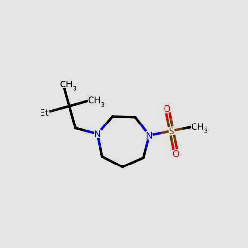 CCC(C)(C)CN1CCCN(S(C)(=O)=O)CC1